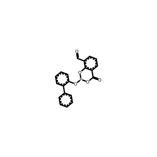 O=Cc1cccc2c1OP(Oc1ccccc1-c1ccccc1)OC2=O